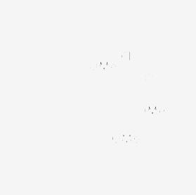 COc1cc(-c2ccccc2)c(OC)c(C(=O)Cl)c1OC